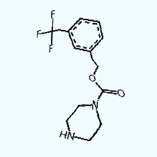 O=C(OCc1cccc(C(F)(F)F)c1)N1CCNCC1